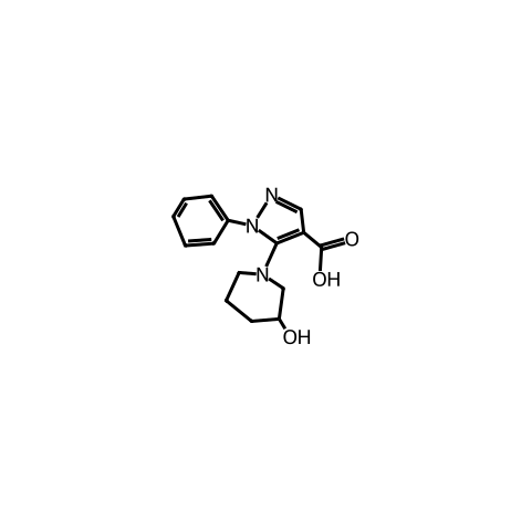 O=C(O)c1cnn(-c2ccccc2)c1N1CCCC(O)C1